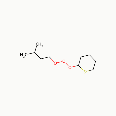 CC(C)CCOOOC1CCCCS1